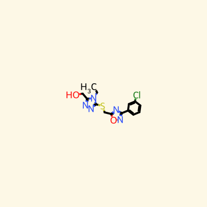 CCn1c(CO)nnc1SCc1nc(-c2cccc(Cl)c2)no1